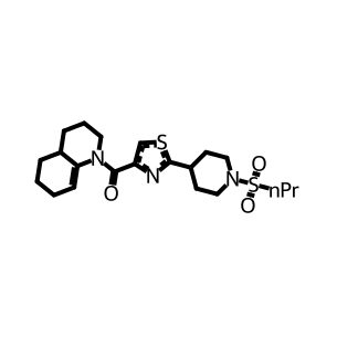 CCCS(=O)(=O)N1CCC(c2nc(C(=O)N3CCCC4CCCC=C43)cs2)CC1